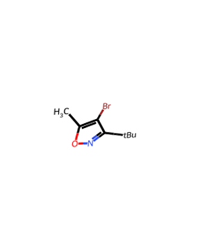 Cc1onc(C(C)(C)C)c1Br